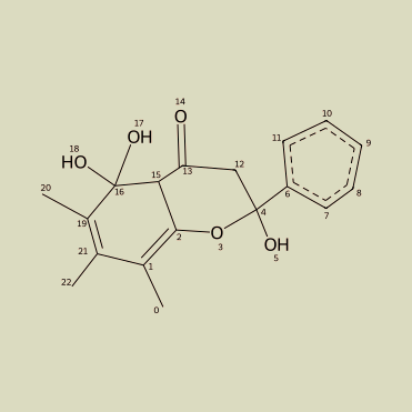 CC1=C2OC(O)(c3ccccc3)CC(=O)C2C(O)(O)C(C)=C1C